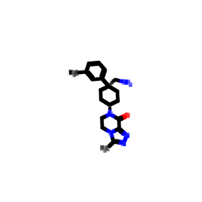 Cc1cccc([C@]2(CN)CC[C@@H](N3CCn4c(nnc4C(F)(F)F)C3=O)CC2)c1